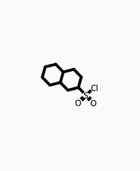 O=S(=O)(Cl)C1CCC2CCCCC2C1